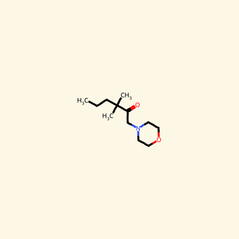 CCCC(C)(C)C(=O)CN1CCOCC1